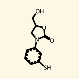 O=C1OC(CO)CN1c1cccc(S)c1